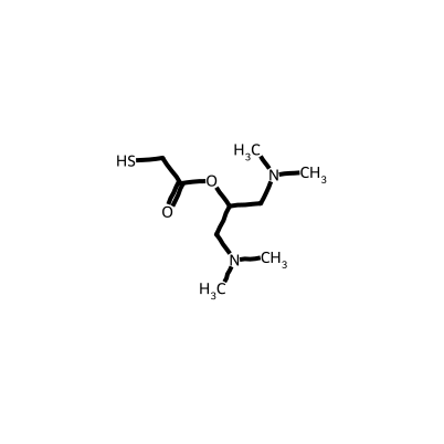 CN(C)CC(CN(C)C)OC(=O)CS